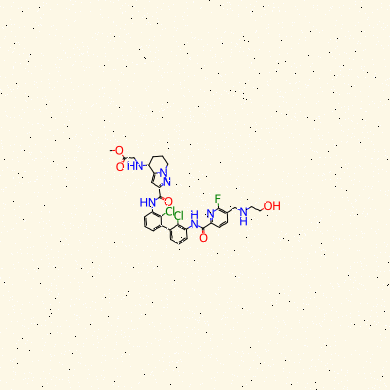 COC(=O)CNC1CCCn2nc(C(=O)Nc3cccc(-c4cccc(NC(=O)c5ccc(CNCCO)c(F)n5)c4Cl)c3Cl)cc21